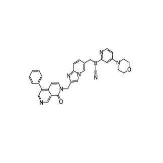 N#CB(Cc1ccc2nc(Cn3ccc4c(-c5ccccc5)cncc4c3=O)cn2c1)c1cc(N2CCOCC2)ccn1